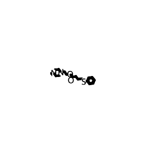 CN1CCN(CCOC(=O)CCCSc2ccccc2)CC1